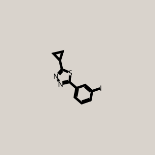 Ic1cccc(-c2nnc(C3CC3)s2)c1